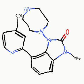 CCCn1c(=O)n(N2CCNCC2)c2c(-c3cc(C#N)ccn3)cccc21